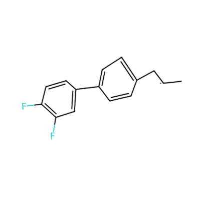 C[CH]Cc1ccc(-c2ccc(F)c(F)c2)cc1